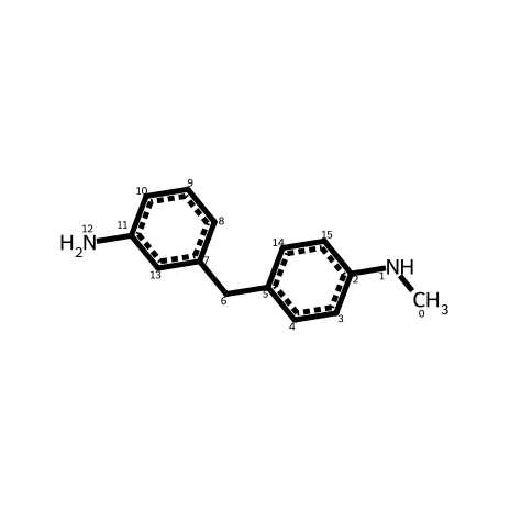 CNc1ccc(Cc2cccc(N)c2)cc1